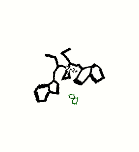 CC[CH](CC1C=Cc2ccccc21)[Zr+2]1([CH](CC)CC2C=Cc3ccccc32)[CH2][CH2]1.[Cl-].[Cl-]